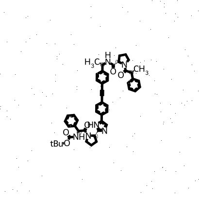 C[C@H](NC(=O)[C@@H]1CCCN1C(=O)[C@H](C)c1ccccc1)c1ccc(C#Cc2ccc(-c3cnc([C@@H]4CCCN4C(=O)[C@H](NC(=O)OC(C)(C)C)c4ccccc4)[nH]3)cc2)cc1